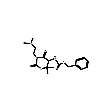 CN(C)CCN1C(=O)C(NC(=O)OCc2ccccc2)C(C)(C)SC1=S